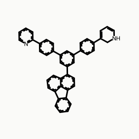 C1=CNCC(c2ccc(-c3cc(-c4ccc(-c5ccccn5)cc4)cc(-c4ccc5c6c(cccc46)-c4ccccc4-5)c3)cc2)=C1